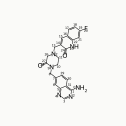 Nc1ncnc2cc(CN3CCN(Cc4cc5ccc(F)cc5[nH]c4=O)CC3=O)ccc12